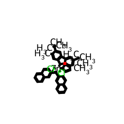 Cc1cc2c(cc1C(C)(C)C)-c1cc(C(C)(C)C)c(C)cc1[CH]2[Zr]([Cl])([Cl])(=[C](c1ccc2ccccc2c1)c1ccc2ccccc2c1)[CH]1C=CC=C1